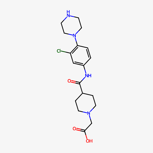 O=C(O)CN1CCC(C(=O)Nc2ccc(N3CCNCC3)c(Cl)c2)CC1